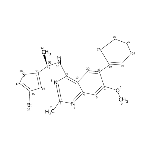 COc1cc2nc(C)nc(N[C@H](C)c3cc(Br)cs3)c2cc1C1=CCCCC1